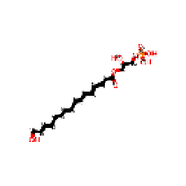 O=C(CCCCCCCCCCCCCCCO)OCC(O)COP(=O)(O)O